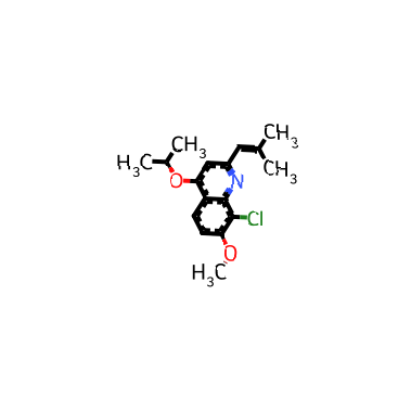 COc1ccc2c(OC(C)C)cc(C=C(C)C)nc2c1Cl